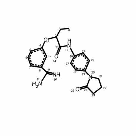 CCC(Oc1cccc(C(=N)N)c1)C(=O)Nc1ccc(N2CCCC2=O)cc1